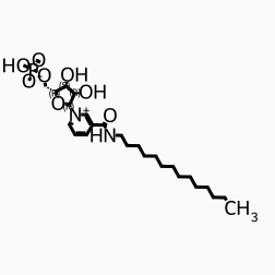 CCCCCCCCCCCCCCNC(=O)c1ccc[n+]([C@@H]2O[C@H](COP(=O)([O-])O)[C@@H](O)[C@H]2O)c1